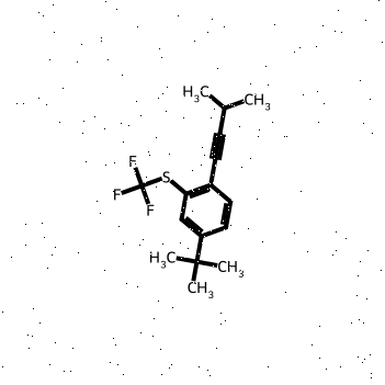 CC(C)C#Cc1ccc(C(C)(C)C)cc1SC(F)(F)F